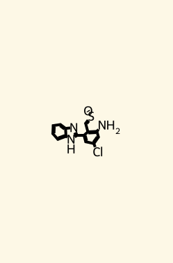 Nc1cc(Cl)cc(-c2nc3ccccc3[nH]2)c1C=S=O